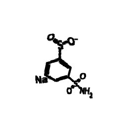 NS(=O)(=O)c1cccc(S(=O)[O-])c1.[Na+]